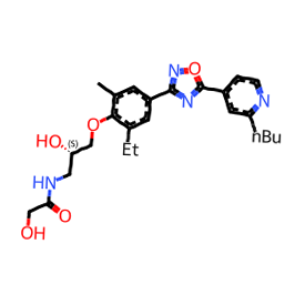 CCCCc1cc(-c2nc(-c3cc(C)c(OC[C@@H](O)CNC(=O)CO)c(CC)c3)no2)ccn1